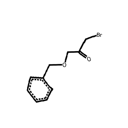 O=C(CBr)COCc1ccccc1